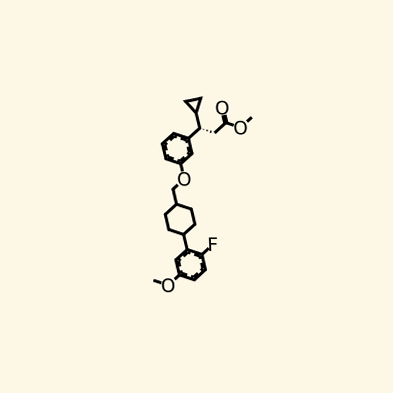 COC(=O)C[C@H](c1cccc(OCC2CCC(c3cc(OC)ccc3F)CC2)c1)C1CC1